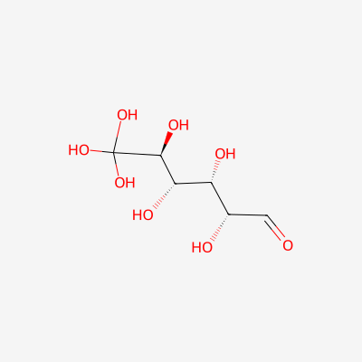 O=C[C@H](O)[C@@H](O)[C@H](O)[C@H](O)C(O)(O)O